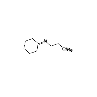 COCCN=C1CCCCC1